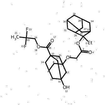 CCC1(OC(=O)COC23CC4CC(O)(C2)CC(C(=O)OCC(C)(F)F)(C4)C3)C2CC3CC(C2)CC1C3